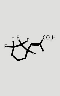 C/C(=C\C1(F)CCCC(F)(F)C1(F)F)C(=O)O